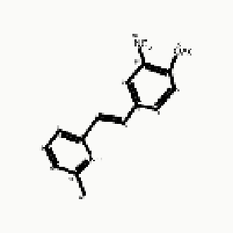 CC(=O)Oc1ccc(C=Cc2cccc(C)n2)cc1[N+](=O)[O-]